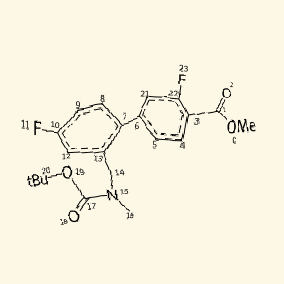 COC(=O)c1ccc(-c2ccc(F)cc2CN(C)C(=O)OC(C)(C)C)cc1F